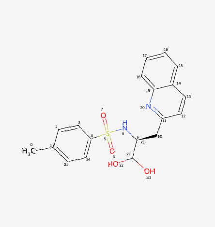 Cc1ccc(S(=O)(=O)N[C@@H](Cc2ccc3ccccc3n2)C(O)O)cc1